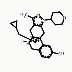 Cc1nn(C2CCOCC2)c2c1C[C@@]1(O)[C@H]3Cc4ccc(O)cc4[C@@]1(CCN3CC1CC1)C2